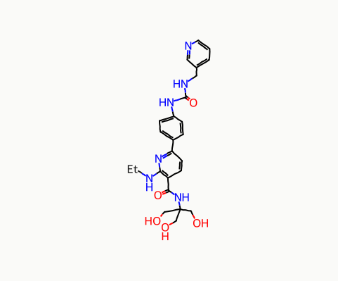 CCNc1nc(-c2ccc(NC(=O)NCc3cccnc3)cc2)ccc1C(=O)NC(CO)(CO)CO